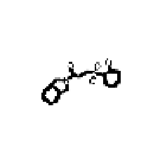 O=C(CCS(=O)(=O)c1ccccc1Cl)N1Cc2ccccc2C1